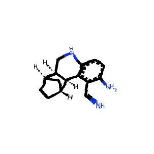 N=Cc1c(N)ccc2c1[C@H]1[C@@H]3CC[C@H](C3)[C@H]1CN2